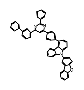 c1ccc(-c2cccc(-c3cc(-c4ccc(-c5cccc6c5c5ccccc5n6-c5ccc6oc7ccccc7c6c5)cc4)nc(-c4ccccc4)n3)c2)cc1